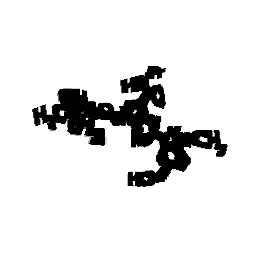 CC(C)NC(=O)c1cn(COCC[Si](C)(C)C)c2ncc(-c3nn(C)c4ccc(CO)cc34)nc12